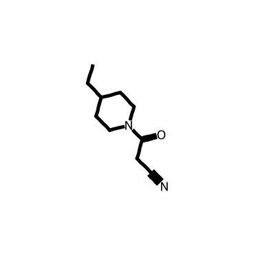 CCC1CCN(C(=O)CC#N)CC1